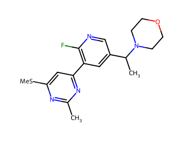 CSc1cc(-c2cc(C(C)N3CCOCC3)cnc2F)nc(C)n1